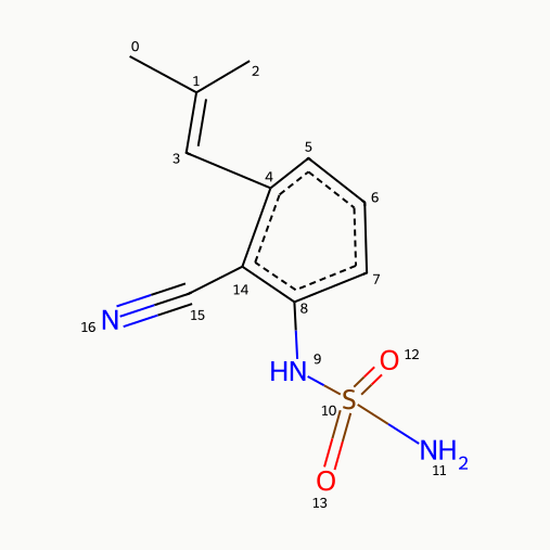 CC(C)=Cc1cccc(NS(N)(=O)=O)c1C#N